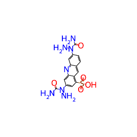 NC(=O)N(N)c1ccc2cc3c(S(=O)(=O)O)cc(N(N)C(N)=O)cc3nc2c1